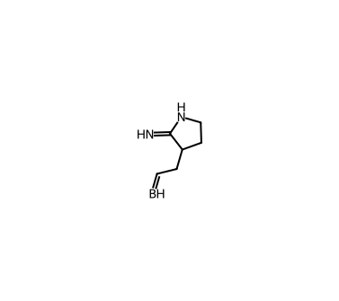 B=CCC1CCNC1=N